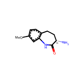 COc1ccc2c(c1)NC(=O)[C@@H](N)CC2